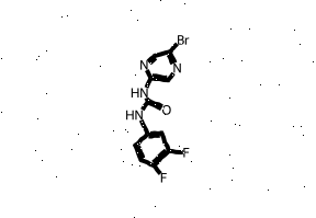 O=C(Nc1ccc(F)c(F)c1)Nc1cnc(Br)cn1